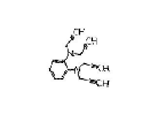 C#CCN(CC#C)c1ccccc1N(CC#C)CC#C